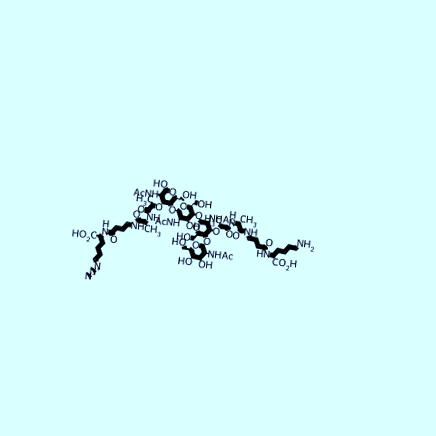 CC(=O)N[C@H]1[C@H](OC2[C@@H](CO)OC(O)[C@H](NC(C)=O)[C@H]2O[C@H](C)C(=O)N[C@@H](C)C(=O)NCCCC(=O)N[C@@H](CCCCN=[N+]=[N-])C(=O)O)O[C@H](CO)[C@@H](O[C@@H]2O[C@H](CO)C(O[C@@H]3O[C@H](CO)[C@@H](O)[C@H](O)[C@H]3NC(C)=O)[C@H](O[C@H](C)C(=O)N[C@@H](C)C(=O)NCCCC(=O)N[C@@H](CCCCN)C(=O)O)[C@H]2NC(C)=O)[C@@H]1O